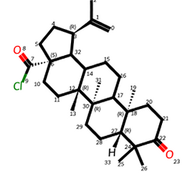 C=C(C)[C@@H]1CC[C@]2(C(=O)Cl)CC[C@]3(C)C(CCC4[C@@]5(C)CCC(=O)C(C)(C)[C@@H]5CC[C@]43C)C12